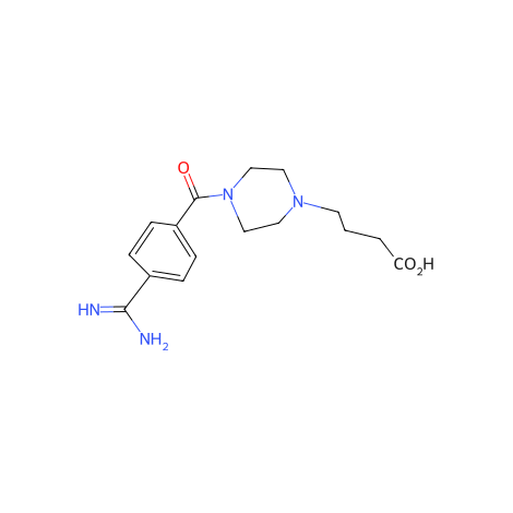 N=C(N)c1ccc(C(=O)N2CCN(CCCC(=O)O)CC2)cc1